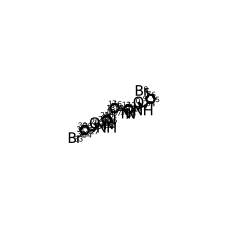 O=C(Cc1cccc(Br)c1)Nc1ccc([C@H]2CCC[C@H](c3ccc(NC(=O)Cc4cccc(Br)c4)nn3)C2)nn1